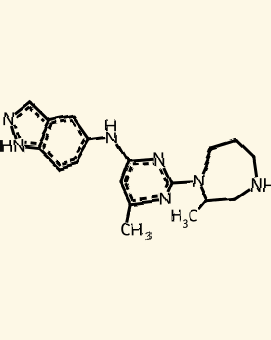 Cc1cc(Nc2ccc3[nH]ncc3c2)nc(N2CCCNCC2C)n1